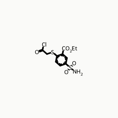 CCOC(=O)c1cc(S(N)(=O)=O)ccc1SCC(=O)Cl